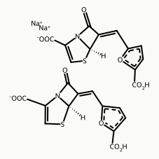 O=C([O-])C1=CS[C@@H]2/C(=C\c3ccc(C(=O)O)o3)C(=O)N12.O=C([O-])C1=CS[C@@H]2/C(=C\c3ccc(C(=O)O)o3)C(=O)N12.[Na+].[Na+]